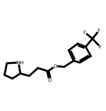 O=C(CCC1CCCN1)OCc1ccc(C(F)(F)F)cc1